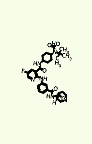 CC(C)(C)N(C(=O)O)C1CCC(NC(=O)c2cc(F)cnc2Nc2cccc(C(=O)N[C@H]3CN4CCC3CC4)c2)CC1